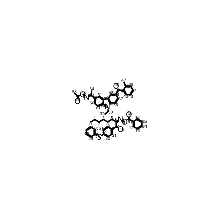 CCCCCCC(=NOC(=O)c1ccccc1)C(=O)c1ccc(Sc2ccccc2)cc1.CCn1c2ccc(C(=O)c3ccccc3C)cc2c2cc(C(C)=NOC(C)=O)ccc21